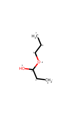 [CH2]CC(O)OCCC